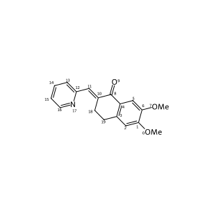 COc1cc2c(cc1OC)C(=O)C(=Cc1ccccn1)CC2